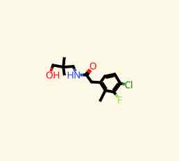 Cc1c(CC(=O)NCC(C)(C)CO)ccc(Cl)c1F